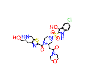 O=C(CC1CN(S(=O)(=O)c2[nH]c3ccc(Cl)cc3c2O)CCN1C(=O)c1nc2c(s1)CNC(CO)C2)N1CCOCC1